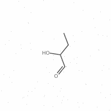 CCC(O)[C]=O